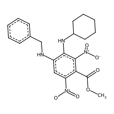 COC(=O)c1c([N+](=O)[O-])cc(NCc2ccccc2)c(NC2CCCCC2)c1[N+](=O)[O-]